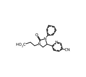 N#Cc1ccc(C2CN(CCC(=O)O)C(=O)N2c2ccccc2)nc1